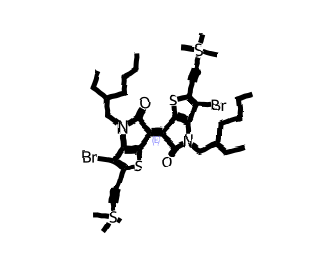 CCCCC(CC)CN1C(=O)/C(=C2/C(=O)N(CC(CC)CCCC)c3c2sc(C#CS(C)(C)C)c3Br)c2sc(C#CS(C)(C)C)c(Br)c21